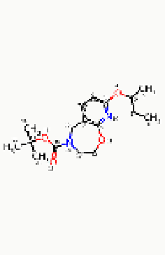 CCC(C)Oc1ccc2c(n1)OCCN(C(=O)OC(C)(C)C)C2